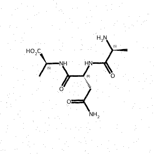 C[C@H](N)C(=O)N[C@H](CC(N)=O)C(=O)N[C@@H](C)C(=O)O